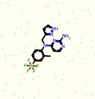 Cc1cc(S(F)(F)(F)(F)F)ccc1N(Cc1cc[nH]n1)c1ccnc(N)n1